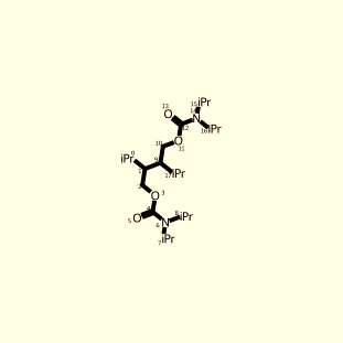 CC(C)C(COC(=O)N(C(C)C)C(C)C)C(COC(=O)N(C(C)C)C(C)C)C(C)C